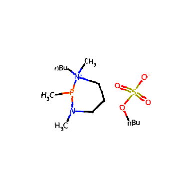 CCCCOS(=O)(=O)[O-].CCCC[N+]1(C)CCCN(C)P1C